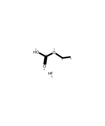 CCOC(=O)O.F